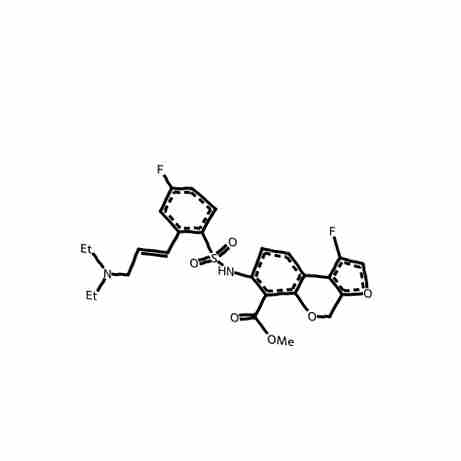 CCN(CC)CC=Cc1cc(F)ccc1S(=O)(=O)Nc1ccc2c(c1C(=O)OC)OCc1occ(F)c1-2